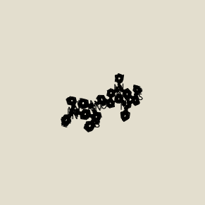 c1ccc(-c2cc(-c3ccc4sc5ccccc5c4c3-c3ccc(-c4nc(-c5ccccc5)nc(-c5cccc(-c6cccc7oc8c(-c9nc(-c%10ccccc%10)nc(-c%10ccc%11sc%12ccccc%12c%11c%10-c%10ccc(-c%11nc(-c%12ccccc%12)nc(-c%12ccccc%12)n%11)cc%10)n9)cccc8c67)c5)n4)cc3)nc(-c3ccccc3)n2)cc1